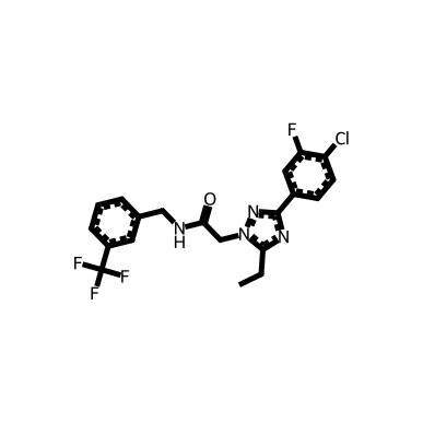 CCc1nc(-c2ccc(Cl)c(F)c2)nn1CC(=O)NCc1cccc(C(F)(F)F)c1